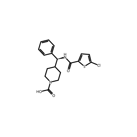 O=C(N[C@H](c1ccccc1)C1CCN(C(=O)O)CC1)c1ccc(Cl)s1